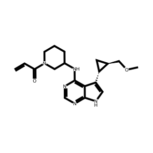 C=CC(=O)N1CCCC(Nc2ncnc3[nH]cc([C@@H]4C[C@H]4COC)c23)C1